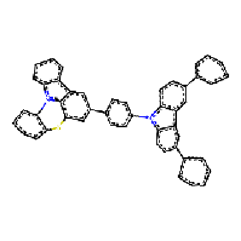 c1ccc(-c2ccc3c(c2)c2cc(-c4ccccc4)ccc2n3-c2ccc(-c3cc4c5c(c3)c3ccccc3n5-c3ccccc3S4)cc2)cc1